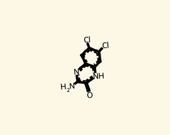 Nc1nc2cc(Cl)c(Cl)cc2[nH]c1=O